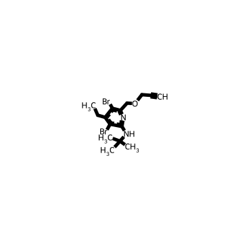 C#CCOCc1nc(NC(C)(C)C)c(Br)c(CC)c1Br